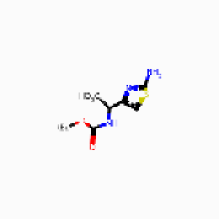 CC(C)(C)OC(=O)NC(C(=O)O)c1csc(N)n1